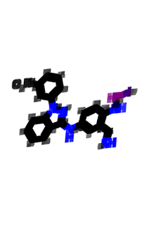 N=Cc1cc(Nc2nn(-c3cccc([N+](=O)[O-])c3)c3ccccc23)ccc1NPI